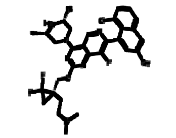 CC[C@@H]1CN(c2nc(OC[C@]3(CCN(C)C)CC3(F)F)nc3c(F)c(-c4cc(O)cc5cccc(Cl)c45)ncc23)C[C@@H](C)N1